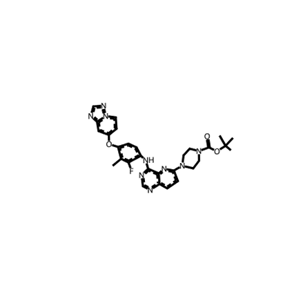 Cc1c(Oc2ccn3ncnc3c2)ccc(Nc2ncnc3ccc(N4CCN(C(=O)OC(C)(C)C)CC4)nc23)c1F